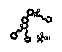 O=C(NCCN1CCCC1)c1cccc(-c2cccc(CN(CCc3cccs3)C(=O)/C=C/c3ccccc3)c2)c1.O=C(O)C(F)(F)F